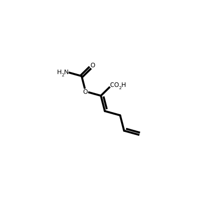 C=CC/C=C(/OC(N)=O)C(=O)O